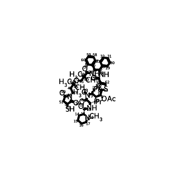 CC(=O)O[C@H](CC(C(C)C)N(C)C(=O)[C@@H](NC(=O)[C@H]1CCCCN1C)C(C)C)c1nc(C(=O)NC(c2ccccc2)C(NC(=O)C(C)(C)COC(C)(C)CCN2C(=O)CC(S)C2=O)c2ccccc2)cs1